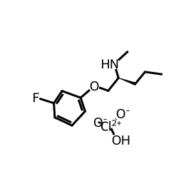 CCC[C@@H](COc1cccc(F)c1)NC.[O-][Cl+2]([O-])O